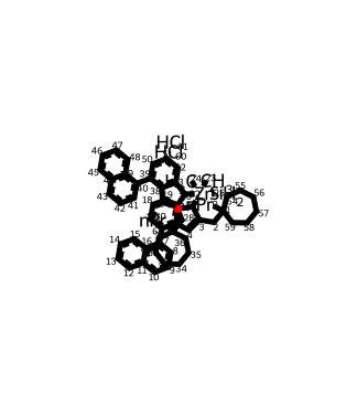 CCCC1(CC2=Cc3c(-c4cccc5ccccc45)cccc3[CH]2[Zr]([CH3])([CH3])(=[SiH2])[CH]2C(CC3(CCC)CCCCCC3)=Cc3c(-c4cccc5ccccc45)cccc32)CCCCCC1.Cl.Cl